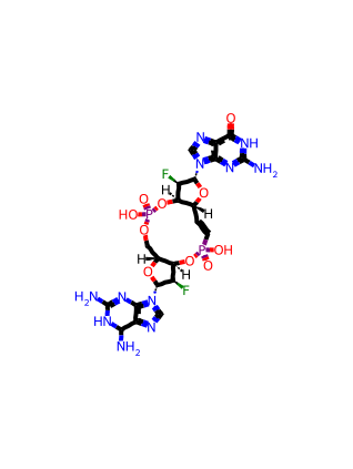 NC1=Nc2c(ncn2[C@@H]2O[C@@H]3COP(=O)(O)O[C@H]4[C@@H](F)[C@H](n5cnc6c(=O)[nH]c(N)nc65)O[C@@H]4/C=C/P(=O)(O)O[C@H]3[C@H]2F)C(N)N1